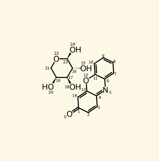 O=c1ccc2nc3ccccc3oc-2c1.O[C@@H]1[C@@H](O)[C@@H](O)CO[C@H]1O